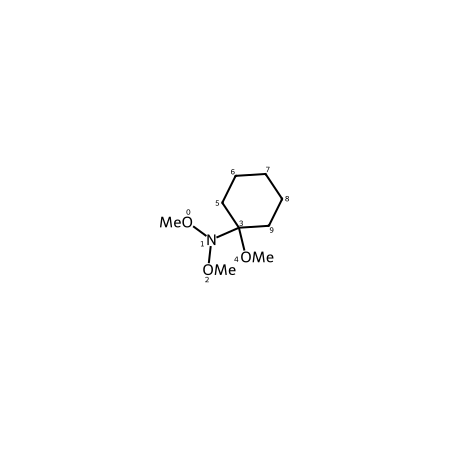 CON(OC)C1(OC)CCCCC1